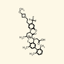 COC1CN(CCc2cn(C(CC(C)C)C(=O)N[C@@H](CC(=O)O)c3cc(-c4c(C)cccc4C)cc(C)c3F)c(=O)cc2C(F)(F)F)C1